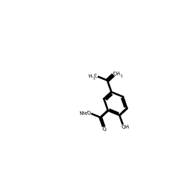 C=C(C)c1ccc(O)c(C(=O)OC)c1